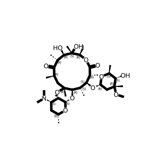 CO[C@]1(C)C[C@@H](C)C(=O)[C@H](C)[C@@H](O)[C@](C)(O)[C@@H](I)OC(=O)[C@H](C)[C@@H](O[C@H]2C[C@@](C)(OC)[C@@H](O)[C@H](C)O2)[C@H](C)[C@H]1O[C@H]1C[C@@H](N(C)C)C[C@@H](C)O1